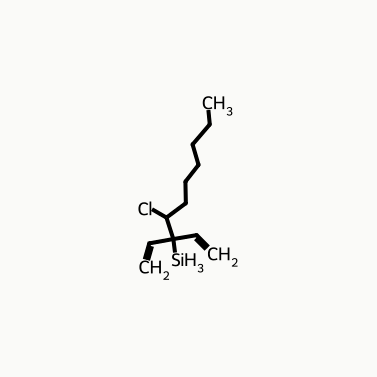 C=CC([SiH3])(C=C)C(Cl)CCCCCC